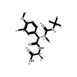 COc1ccc([C@@H](C(=O)N[C@@H](C)C(=O)O)N(C)C(=O)OC(C)(C)C)cc1I